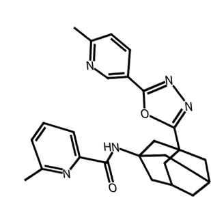 Cc1ccc(-c2nnc(C34CC5CC(CC(NC(=O)c6cccc(C)n6)(C5)C3)C4)o2)cn1